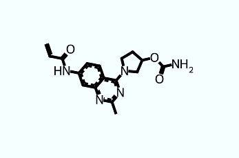 C=CC(=O)Nc1ccc2c(N3CCC(OC(N)=O)C3)nc(C)nc2c1